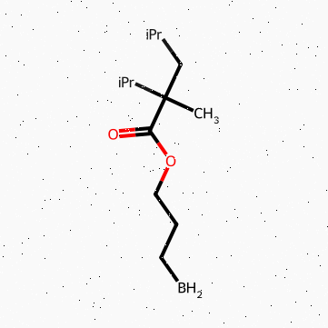 BCCCOC(=O)C(C)(CC(C)C)C(C)C